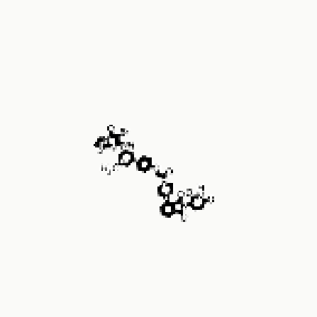 CN1C[C@H](Nc2nc3sccn3c(=O)c2Br)C[C@H](c2ccc(OCC(=O)N3CCN(c4cccc5c4C(=O)N(C4CCC(=O)NC4=O)C5=O)CC3)cc2)C1